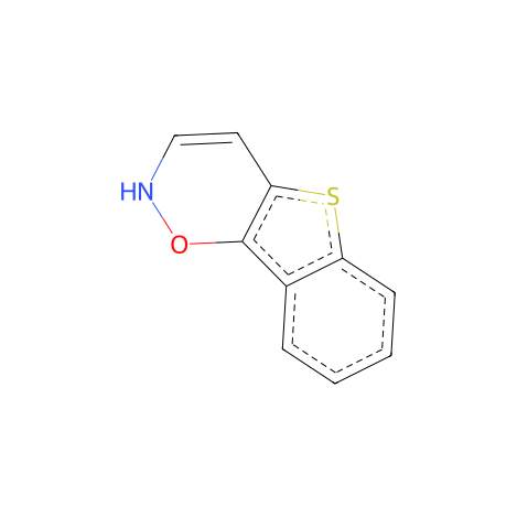 C1=Cc2sc3ccccc3c2ON1